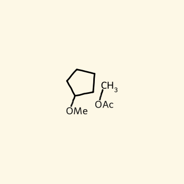 COC(C)=O.COC1CCCC1